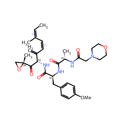 C=C(/C=C\C(C)=C/C)[C@H](NC(=O)[C@H](Cc1ccc(OC)cc1)NC(=O)[C@H](C)NC(=O)CN1CCOCC1)C(=O)[C@@]1(C)CO1